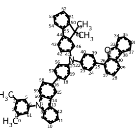 Cc1cc(C)cc(-n2c3ccccc3c3cc(-c4ccc(N(c5ccc(-c6cccc7c6oc6ccccc67)cc5)c5ccc6c(c5)C(C)(C)c5ccccc5-6)cc4)ccc32)c1